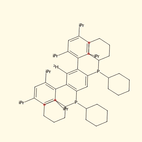 [2H]c1c(-c2c(C(C)C)cc(C(C)C)cc2C(C)C)c(P(C2CCCCC2)C2CCCCC2)cc(P(C2CCCCC2)C2CCCCC2)c1-c1c(C(C)C)cc(C(C)C)cc1C(C)C